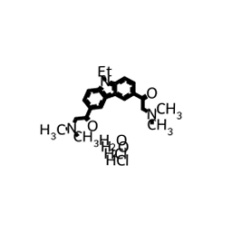 CCn1c2ccc(C(=O)CN(C)C)cc2c2cc(C(=O)CN(C)C)ccc21.Cl.Cl.O.O